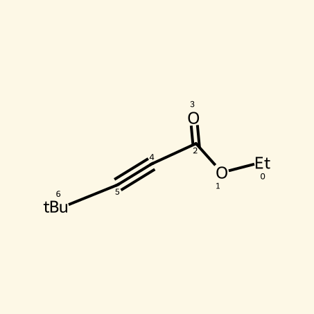 CCOC(=O)C#CC(C)(C)C